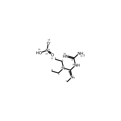 CCN(CC)/C(=N\C)NC(=N)N.O=[N+]([O-])O